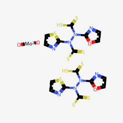 S=C(S)N(c1ncco1)N(C(=S)[S-])c1nccs1.S=C(S)N(c1ncco1)N(C(=S)[S-])c1nccs1.[O]=[Mo+2]=[O]